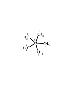 [CH3][Bi]([CH3])([CH3])([CH3])[CH3]